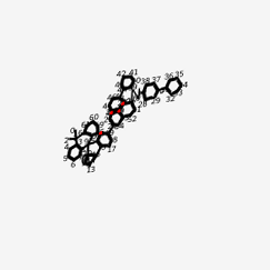 CC1(C)c2ccccc2C2(c3ccccc3-c3ccc(-c4ccc5cc(N(c6ccc(-c7ccccc7)cc6)c6ccccc6-c6ccccc6)ccc5c4)cc32)c2ccccc21